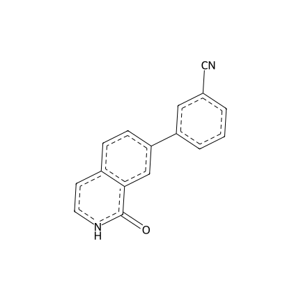 N#Cc1cccc(-c2ccc3cc[nH]c(=O)c3c2)c1